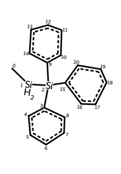 C[SiH2][Si](c1ccccc1)(c1ccccc1)c1ccccc1